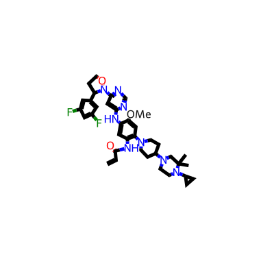 C=CC(=O)Nc1cc(Nc2cc(N3OCCC3c3cc(F)cc(F)c3)ncn2)c(OC)cc1N1CCC(N2CCN(C3CC3)C(C)(C)C2)CC1